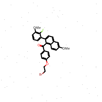 COc1ccc2c(C(=O)c3ccc(OCCBr)cc3)c(-c3cccc(OC)c3F)ccc2c1